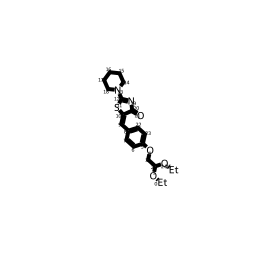 CCOC(COc1ccc(C=C2SC(N3CCCCC3)=NC2=O)cc1)OCC